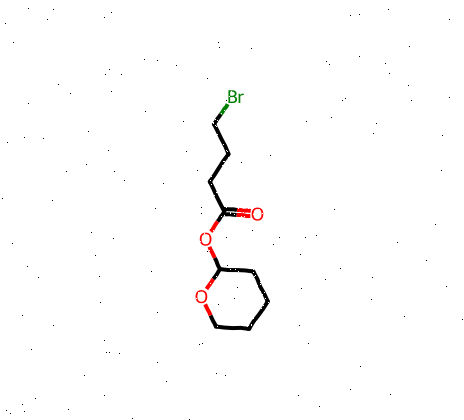 O=C(CCCBr)OC1CCCCO1